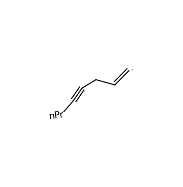 [CH]=CCC#CCCC